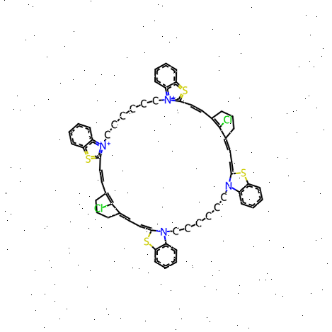 ClC1=C2C=Cc3sc4ccccc4[n+]3CCCCCC[n+]3c(sc4ccccc43)C=CC3=C(Cl)C(=CC=C4Sc5ccccc5N4CCCCCCN4C(=CC=C1CCC2)Sc1ccccc14)CCC3